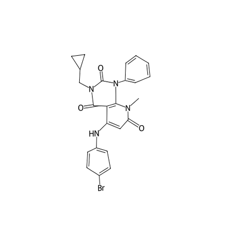 Cn1c(=O)cc(Nc2ccc(Br)cc2)c2c(=O)n(CC3CC3)c(=O)n(-c3ccccc3)c21